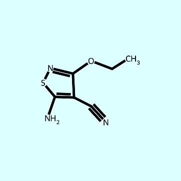 CCOc1nsc(N)c1C#N